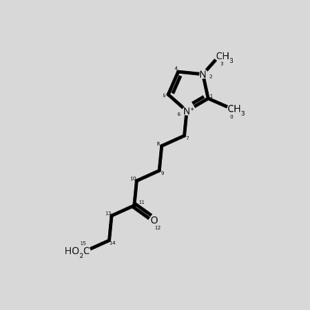 Cc1n(C)cc[n+]1CCCCC(=O)CCC(=O)O